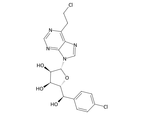 O[C@@H]1[C@H](O)[C@@H]([C@H](O)c2ccc(Cl)cc2)O[C@H]1n1cnc2c(CCCl)ncnc21